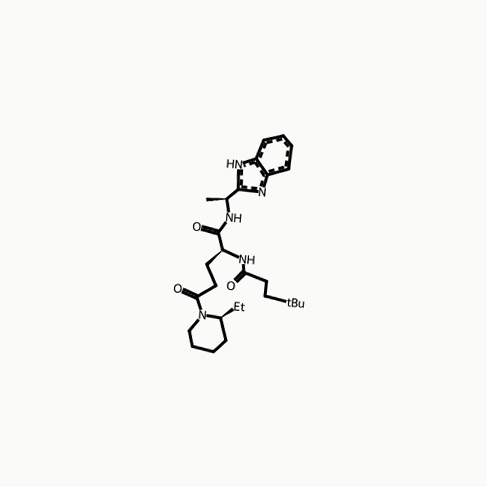 CC[C@H]1CCCCN1C(=O)CC[C@H](NC(=O)CCC(C)(C)C)C(=O)N[C@@H](C)c1nc2ccccc2[nH]1